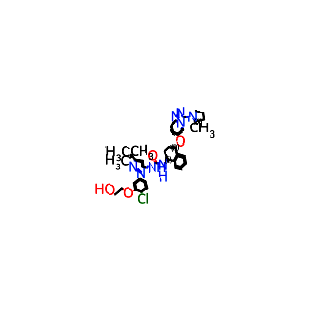 C[C@H]1CCCN1c1nnc2ccc(O[C@@H]3CC[C@H](NC(=O)Nc4cc(C(C)(C)C)nn4-c4ccc(Cl)c(OCCO)c4)c4ccccc43)cn12